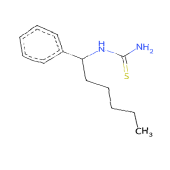 CCCCCC(NC(N)=S)c1ccccc1